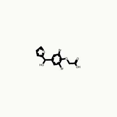 O=C(O)COc1c(Br)cc(C(O)c2cccs2)cc1Br